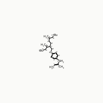 CC=C(C)[SiH2]c1ccc(OCC(CCC(C)CC(C)(C)C)C(C)CC(C)(C)C)cc1